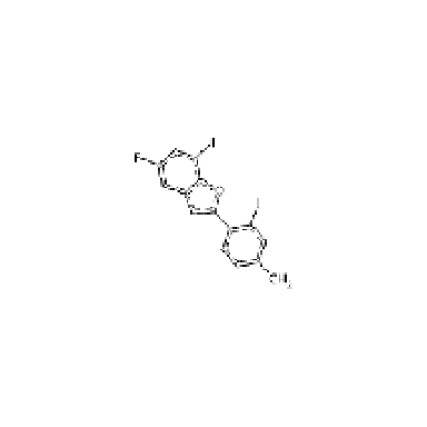 Cc1ccc(-c2cc3cc(F)cc(I)c3o2)c(I)c1